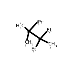 CCC(C)(CC)C(C)(C)[C](C)C